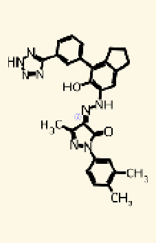 CC1=NN(c2ccc(C)c(C)c2)C(=O)/C1=N\Nc1cc2c(c(-c3cccc(-c4nn[nH]n4)c3)c1O)CCC2